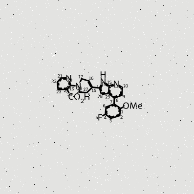 COc1ccc(F)cc1-c1ccnc2[nH]c(C3=CCN(c4ncccc4C(=O)O)CC3)cc12